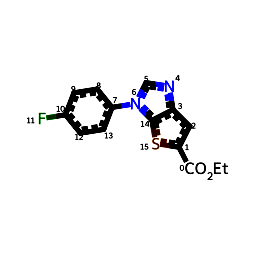 CCOC(=O)c1cc2ncn(-c3ccc(F)cc3)c2s1